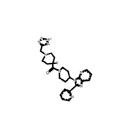 O=C(N1CCC(n2c(-c3ccccn3)nc3cccnc32)CC1)C1(F)CCN(Cc2nn[nH]n2)CC1